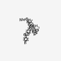 COc1ccc(CN(C)C(=O)NCC2CCN(CC(=O)c3ccc(F)cc3)CC2)cn1.O=C(O)C(F)(F)F